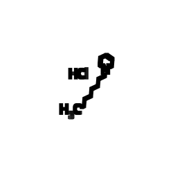 CCCCCCCCN1C=CC=CC1.Cl